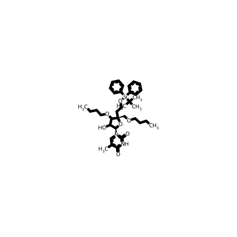 CCCCOC[C@@]1(CCO[Si](c2ccccc2)(c2ccccc2)C(C)(C)C)O[C@@H](n2cc(C)c(=O)[nH]c2=O)C(O)C1OCCCC